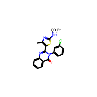 CCOC(=O)Nc1nc(C)c(-c2nc3ccccc3c(=O)n2-c2cccc(Cl)c2)s1